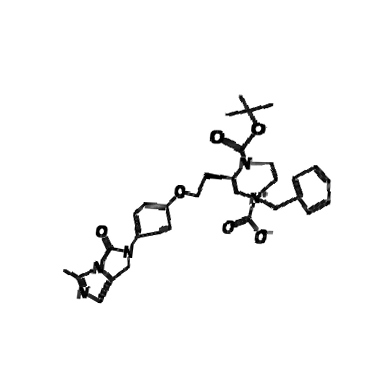 Cc1ncc2n1C(=O)N(c1ccc(OCC[C@@H]3C[N+](Cc4ccccc4)(C(=O)[O-])CCN3C(=O)OC(C)(C)C)cc1)C2